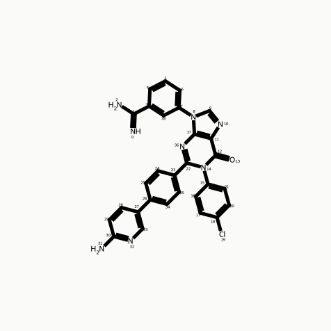 N=C(N)c1cccc(-n2cnc3c(=O)n(-c4ccc(Cl)cc4)c(-c4ccc(-c5ccc(N)nc5)cc4)nc32)c1